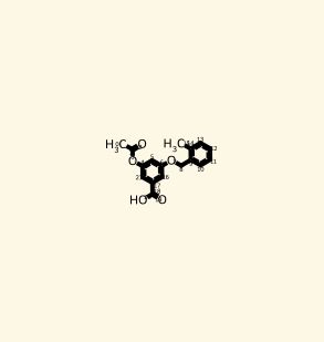 CC(=O)Oc1cc(OCc2ccccc2C)cc(C(=O)O)c1